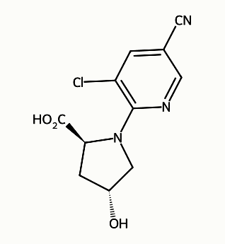 N#Cc1cnc(N2C[C@H](O)C[C@H]2C(=O)O)c(Cl)c1